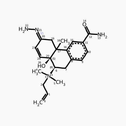 C=CC[N+](C)(C)[C@@H]1Cc2ccc(C(N)=O)cc2C2(C)C/C(=N/N)C=C[C@@]12O